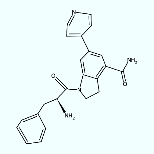 NC(=O)c1cc(-c2ccncc2)cc2c1CCN2C(=O)[C@@H](N)Cc1ccccc1